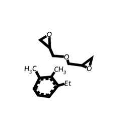 C(OCC1CO1)C1CO1.CCc1cccc(C)c1C